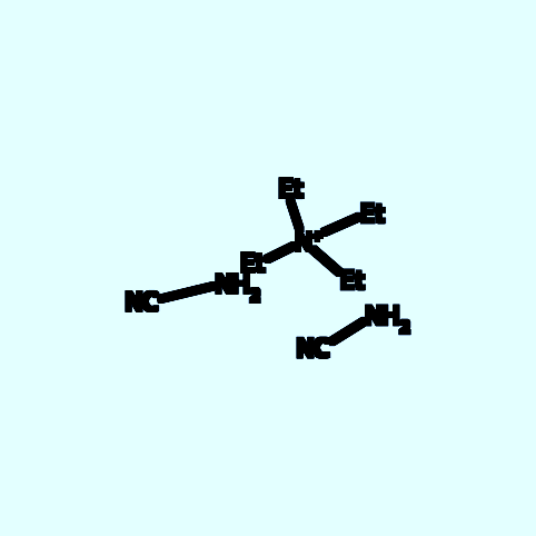 CC[N+](CC)(CC)CC.N#CN.N#CN